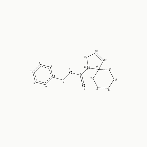 O=C(OCc1ccccc1)N1CC=CC12CCCCC2